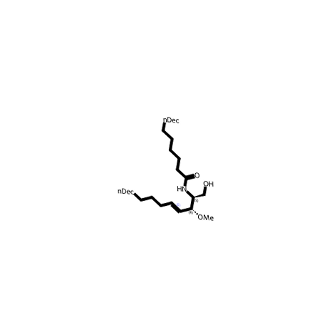 CCCCCCCCCCCCC/C=C/[C@@H](OC)[C@H](CO)NC(=O)CCCCCCCCCCCCCCC